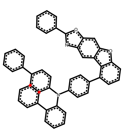 c1ccc(-c2ccc(N(c3ccc(-c4cccc5oc6cc7oc(-c8ccccc8)nc7cc6c45)cc3)c3ccccc3-c3ccccc3)cc2)cc1